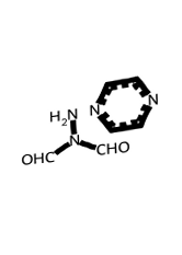 NN(C=O)C=O.c1cnccn1